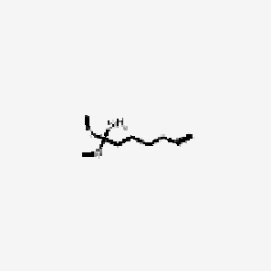 C=CCCCCC([SiH3])(OC)OC